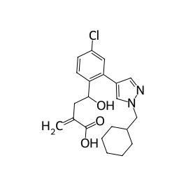 C=C(CC(O)c1ccc(Cl)cc1-c1cnn(CC2CCCCC2)c1)C(=O)O